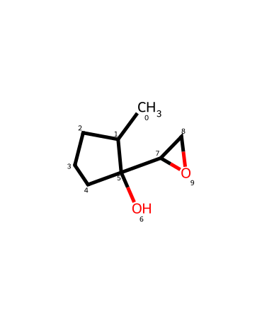 CC1CCCC1(O)C1CO1